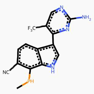 CPc1c(C#N)ccc2c(-c3nc(N)ncc3C(F)(F)F)c[nH]c12